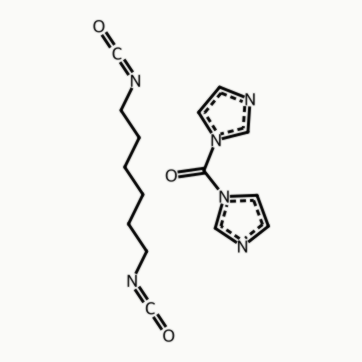 O=C(n1ccnc1)n1ccnc1.O=C=NCCCCCCN=C=O